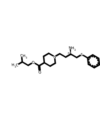 CC(C)COC(=O)C1CCN(CC[C@@H](N)CSc2ccccc2)CC1